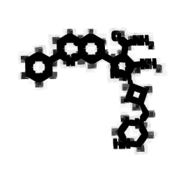 NC(=O)c1c(-c2ccc3ccc(-c4ccccc4)nc3c2)nn([C@H]2C[C@H](CN3CCNCC3)C2)c1N